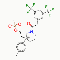 Cc1ccc([C@@]2(CCOS(C)(=O)=O)CCCN(C(=O)Cc3cc(C(F)(F)F)cc(C(F)(F)F)c3)C2)cc1